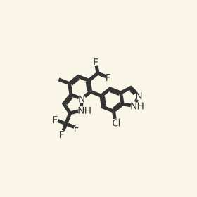 CC1=CC(C(F)F)=C(c2cc(Cl)c3[nH]ncc3c2)N2NC(C(F)(F)F)C=C12